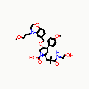 COCCCN1CCOc2ccc(CO[C@H]3CN(C(=O)O)[C@H](CC(C)(C)C(=O)NCCO)C[C@@H]3c3ccc(OC)cc3)cc21